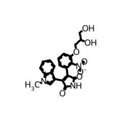 Cn1cc(C2=C(c3cccc(OCC(O)CO)c3[N+](=O)[O-])C(=O)NC2=O)c2ccccc21